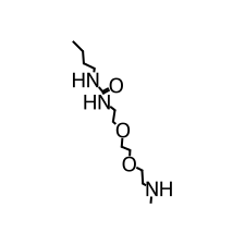 CCCCNC(=O)NCCOCCOCCNC